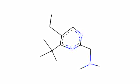 CCc1cnc(CN(C)C)nc1C(C)(C)C